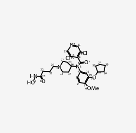 COc1ccc(N(C(=O)c2c(Cl)cncc2Cl)C2CCN(CCCC(=O)NO)CC2)cc1OC1CCCC1